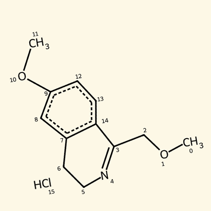 COCC1=NCCc2cc(OC)ccc21.Cl